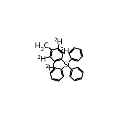 [2H]c1c([2H])c([Si](c2ccccc2)(c2ccccc2)c2ccccc2)c([2H])c([2H])c1C